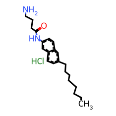 CCCCCCCCc1ccc2cc(NC(=O)CCCN)ccc2c1.Cl